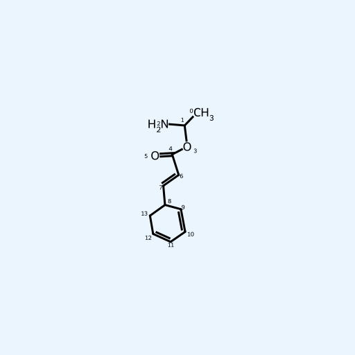 CC(N)OC(=O)/C=C/C1C=CC=CC1